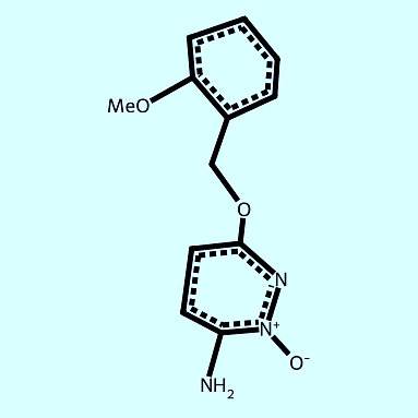 COc1ccccc1COc1ccc(N)[n+]([O-])n1